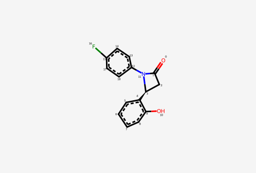 O=C1C[C@@H](c2ccccc2O)N1c1ccc(F)cc1